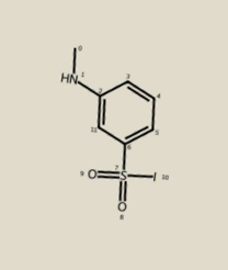 CNc1cccc(S(=O)(=O)I)c1